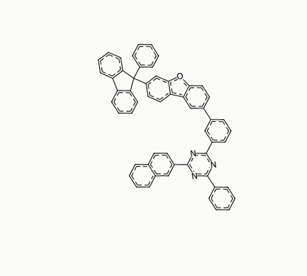 c1ccc(-c2nc(-c3cccc(-c4ccc5oc6cc(C7(c8ccccc8)c8ccccc8-c8ccccc87)ccc6c5c4)c3)nc(-c3ccc4ccccc4c3)n2)cc1